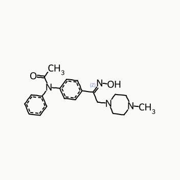 CC(=O)N(c1ccccc1)c1ccc(/C(CN2CCN(C)CC2)=N/O)cc1